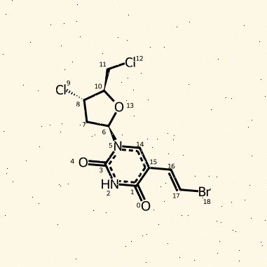 O=c1[nH]c(=O)n([C@H]2C[C@H](Cl)[C@@H](CCl)O2)cc1C=CBr